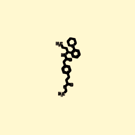 CCCC(NC(=O)Cc1ccc(CCC(=O)OCC)cc1)c1ccccc1N1CCCCC1